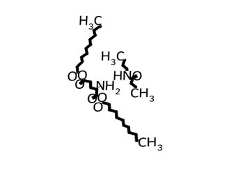 CCCCCCCCCCCC(=O)OC(=O)CC[C@H](N)C(=O)OC(=O)CCCCCCCCCCC.CCCCNC(=O)CCC